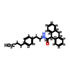 O=C(O)CCc1ccc(CCNC(=O)C2c3ccccc3Cc3ccccc32)cc1